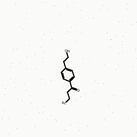 CC(=O)CCC(=O)c1ccc(CCO)cc1